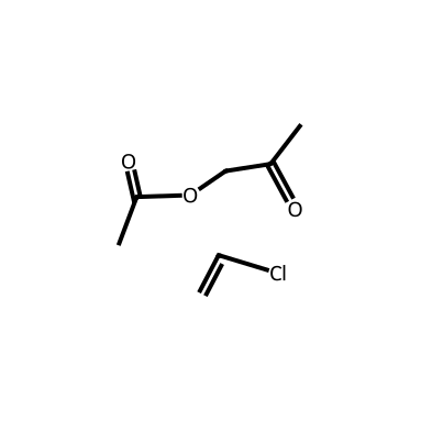 C=CCl.CC(=O)COC(C)=O